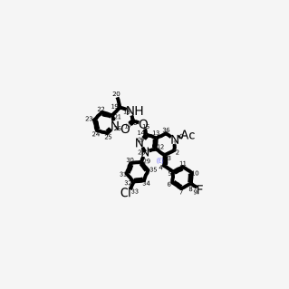 CC(=O)N1C/C(=C\c2ccc(F)cc2)c2c(c(OC(=O)NC(C)c3ccccn3)nn2-c2ccc(Cl)cc2)C1